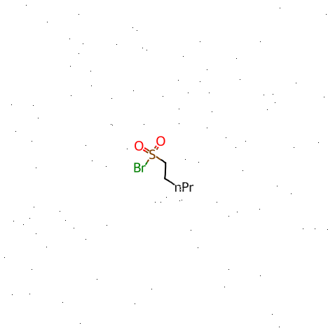 CCCCCS(=O)(=O)Br